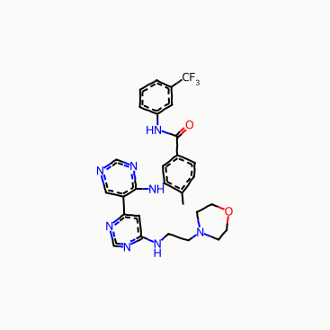 Cc1ccc(C(=O)Nc2cccc(C(F)(F)F)c2)cc1Nc1ncncc1-c1cc(NCCN2CCOCC2)ncn1